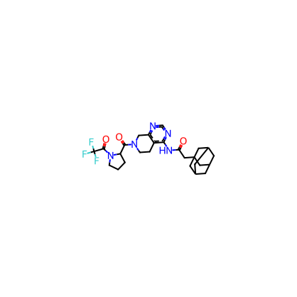 O=C(CC12CC3CC(CC(C3)C1)C2)Nc1ncnc2c1CCN(C(=O)C1CCCN1C(=O)C(F)(F)F)C2